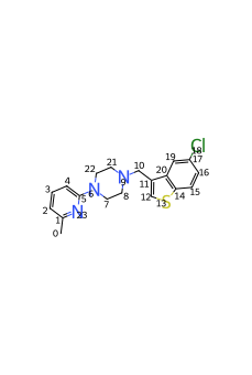 Cc1cccc(N2CCN(Cc3csc4ccc(Cl)cc34)CC2)n1